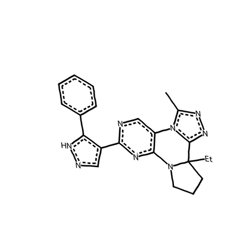 CCC12CCCN1c1nc(-c3cn[nH]c3-c3ccccc3)ncc1-n1c(C)nnc12